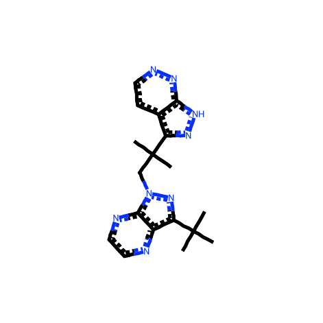 CC(C)(C)c1nn(CC(C)(C)c2n[nH]c3nnccc23)c2nccnc12